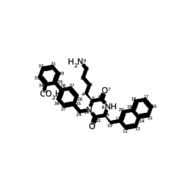 NCCCC[C@H]1C(=O)N[C@@H](Cc2ccc3ccccc3c2)C(=O)N1Cc1ccc(-c2ccccc2C(=O)O)cc1